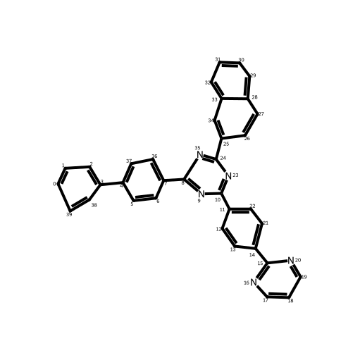 c1ccc(-c2ccc(-c3nc(-c4ccc(-c5ncccn5)cc4)nc(-c4ccc5ccccc5c4)n3)cc2)cc1